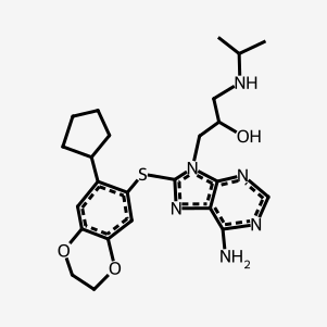 CC(C)NCC(O)Cn1c(Sc2cc3c(cc2C2CCCC2)OCCO3)nc2c(N)ncnc21